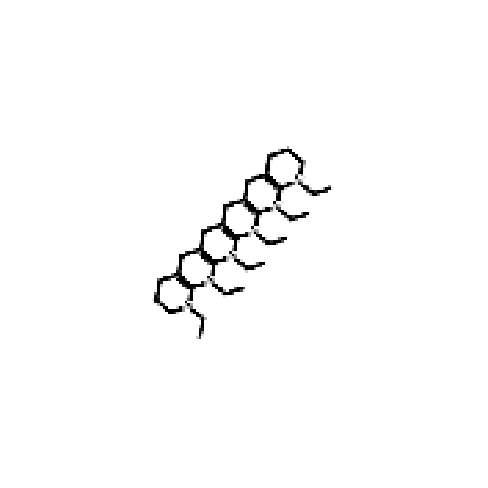 CCN1CCCC2=C1N(CC)C1=C(C2)CC2=C(N1CC)N(CC)C1=C(CC3=C(N(CC)CCC3)N1CC)C2